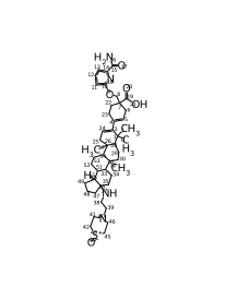 CC1(C)C(C2=CCC(COc3cccc(C(N)=O)n3)(C(=O)O)CC2)=CCC2(C)C1CC[C@@]1(C)C3CCC4(NCCN5CC[S+]([O-])CC5)CCC[C@@H]4C3CCC21